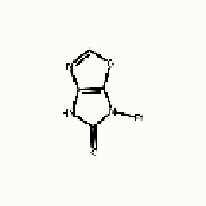 CCn1c(=O)[nH]c2ncoc21